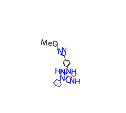 COCCn1cc(-c2ccc(NC(=N)c3c(NC4CCCCC4)cc[nH]c3=O)cc2)cn1